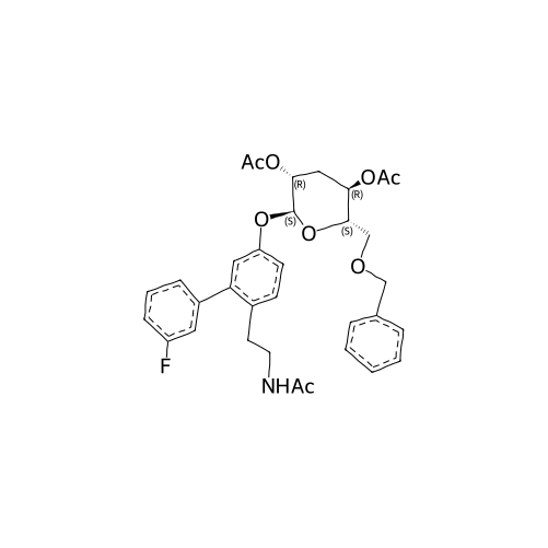 CC(=O)NCCc1ccc(O[C@@H]2O[C@@H](COCc3ccccc3)[C@H](OC(C)=O)C[C@H]2OC(C)=O)cc1-c1cccc(F)c1